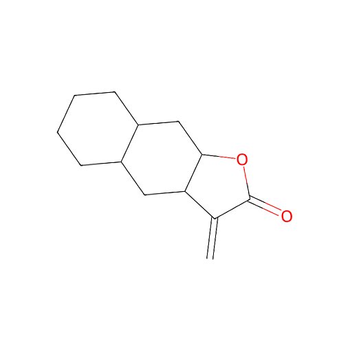 C=C1C(=O)OC2CC3CCCCC3CC12